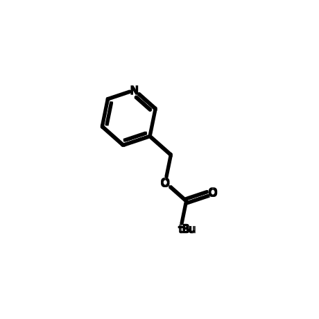 CC(C)(C)C(=O)OCc1cccnc1